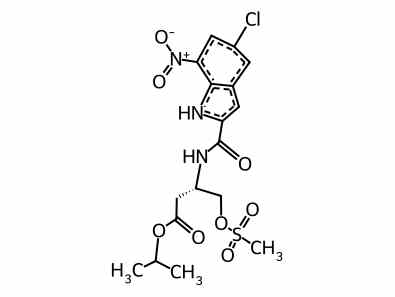 CC(C)OC(=O)C[C@@H](COS(C)(=O)=O)NC(=O)c1cc2cc(Cl)cc([N+](=O)[O-])c2[nH]1